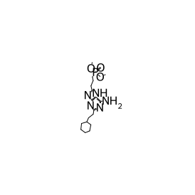 COP(=O)(CCCc1nc2nc(CCC3CCCCC3)nc(N)c2[nH]1)OC